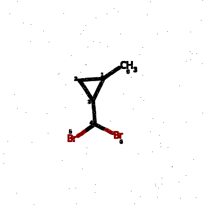 CC1CC1C(Br)Br